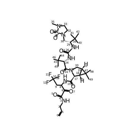 C=CCNC(=O)C(=O)C(CC(F)(F)F)NC(=O)[C@@H]1[C@@H]2[C@H](CN1C(=O)[C@@H](NC(=O)N[C@H](CN1CCN(C)S1(=O)=O)C(C)(C)C)C(C)(C)C)C2(C)C